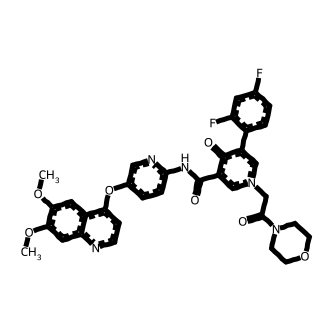 COc1cc2nccc(Oc3ccc(NC(=O)c4cn(CC(=O)N5CCOCC5)cc(-c5ccc(F)cc5F)c4=O)nc3)c2cc1OC